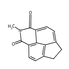 CN1C(=O)c2ccc3c4c(ccc(c24)C1=O)CC3